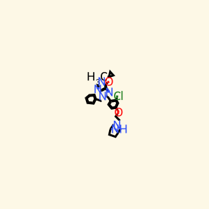 CC1(Oc2ncnc3c2nc(-c2ccc(OCCN4CC5CCC(C4)N5)cc2Cl)n3Cc2ccccc2)CC1